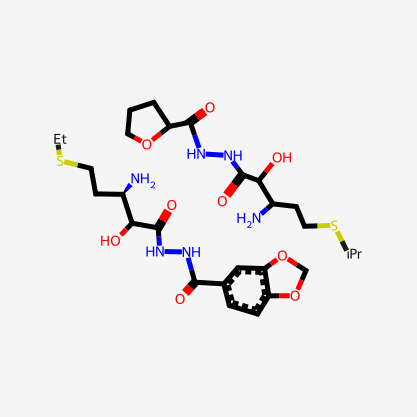 CC(C)SCCC(N)C(O)C(=O)NNC(=O)C1CCCO1.CCSCC[C@@H](N)C(O)C(=O)NNC(=O)c1ccc2c(c1)OCO2